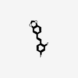 Fc1ccc(/C=C/c2ccc3c(c2)OCO3)c(F)c1